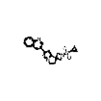 O=S(=O)(C1CC1)N1CC2(CCn3nc(-c4cnc5ccccc5c4)cc32)C1